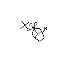 CC(C)(C)OC(=O)N1C2CC[C@H]1CC(=O)C2